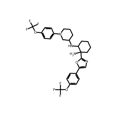 NC1(c2ncc(-c3ccc(OC(F)(F)F)cc3)o2)CCCCC1NC1CCCN(c2ccc(OC(F)(F)F)cc2)C1